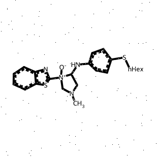 CCCCCCSc1ccc(NC2CN(C)C[N+]2([O-])c2nc3ccccc3s2)cc1